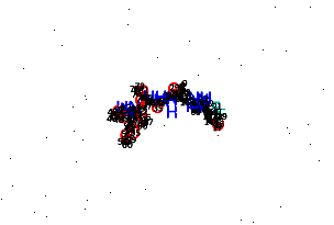 CCc1cc(Nc2nccn3c(-c4ccc(OC)c(F)c4F)cnc23)ccc1C(=O)NCCNC(=O)[C@H](CCCN/C(=N/C(=O)OC(C)(C)C)N(CCCC(=O)OC(C)(C)C)C(=O)OC(C)(C)C)NC(=O)OC(C)(C)C